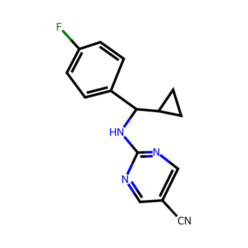 N#Cc1cnc(NC(c2ccc(F)cc2)C2CC2)nc1